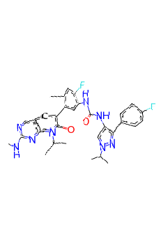 CNc1ncc2cc(-c3cc(NC(=O)Nc4cn(C(C)C)nc4-c4ccc(F)cc4)c(F)cc3C)c(=O)n(C(C)C)c2n1